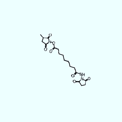 CC1CC(=O)N(OC(=O)CCCCCCCC(=O)NN2C(=O)CCC2=O)C1=O